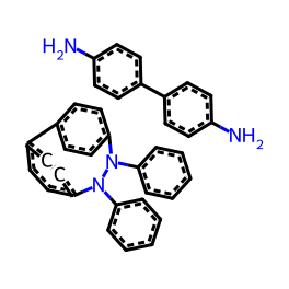 Nc1ccc(-c2ccc(N)cc2)cc1.c1ccc(N2c3ccc(cc3)-c3ccc(cc3)N2c2ccccc2)cc1